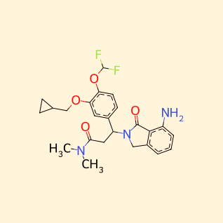 CN(C)C(=O)CC(c1ccc(OC(F)F)c(OCC2CC2)c1)N1Cc2cccc(N)c2C1=O